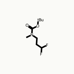 CN(CCC(F)F)C(=O)OC(C)(C)C